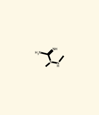 CNN(C)C(=N)N